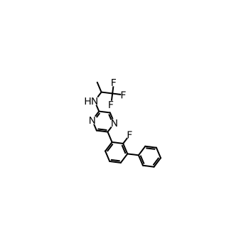 CC(Nc1cnc(-c2cccc(-c3ccccc3)c2F)cn1)C(F)(F)F